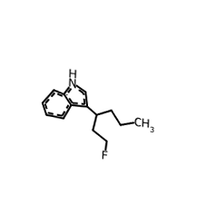 CCCC(CCF)c1c[nH]c2ccccc12